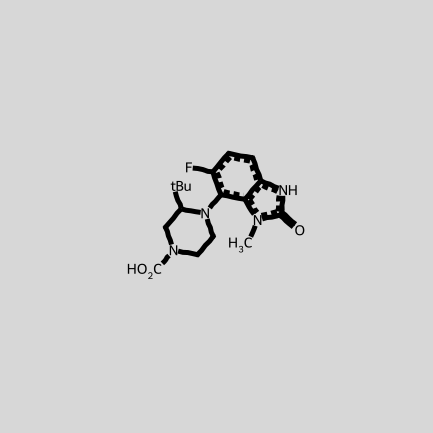 Cn1c(=O)[nH]c2ccc(F)c(N3CCN(C(=O)O)CC3C(C)(C)C)c21